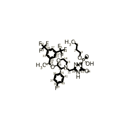 CCCCOP(=O)(O)n1nc(CN2CCO[C@H](O[C@H](C)c3cc(C(F)(F)F)cc(C(F)(F)F)c3)[C@@H]2c2ccc(F)cc2)[nH]c1=O